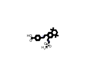 CC1(C)CCC(C)(C)c2cc(/C=C/S(N)(=O)=O)c(/C=C/c3ccc(C(=O)O)cc3)cc21